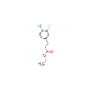 CCOC(=O)CCc1ccc(Cl)c(F)c1